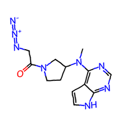 CN(c1ncnc2[nH]ccc12)C1CCN(C(=O)CN=[N+]=[N-])C1